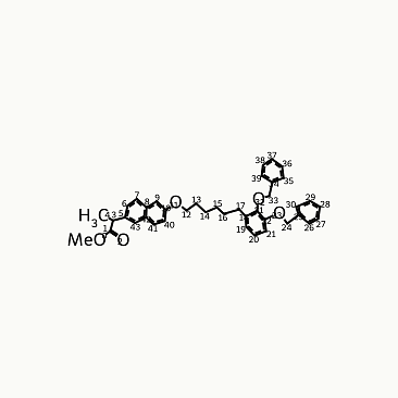 COC(=O)C(C)c1ccc2cc(OCCCCCCc3cccc(OCc4ccccc4)c3OCc3ccccc3)ccc2c1